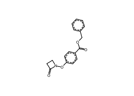 O=C(OCc1ccccc1)c1ccc(ON2CCC2=O)cc1